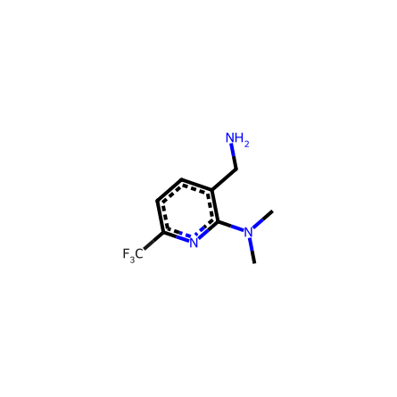 CN(C)c1nc(C(F)(F)F)ccc1CN